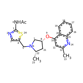 CC(=O)Nc1ncc(CN2C[C@H](Oc3cc(C)nc4ccccc34)C[C@@H]2C)s1